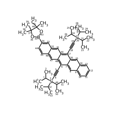 CC(C)[Si](C#Cc1c2cc3ccccc3cc2c(C#C[Si](C(C)C)(C(C)C)C(C)C)c2cc3cc(B4OC(C)(C)C(C)(C)O4)ccc3cc12)(C(C)C)C(C)C